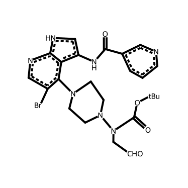 CC(C)(C)OC(=O)N(CC=O)N1CCN(c2c(Br)cnc3[nH]cc(NC(=O)c4cccnc4)c23)CC1